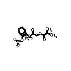 C=C(C)C(=O)OCC(=O)OC1C(O[SH](=O)=O)C2CCC1C2(C)C